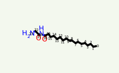 CCCCCCCCC=CCCCCCCCC(=O)NC(=O)CN